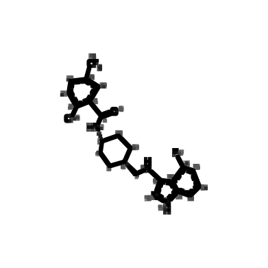 O=C(N[C@H]1CC[C@H](CNc2n[nH]c3cccc(F)c23)CC1)c1cc(C(F)(F)F)ccc1Cl